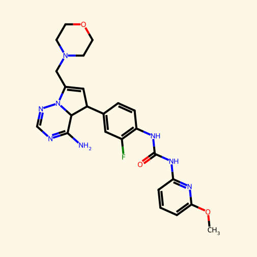 COc1cccc(NC(=O)Nc2ccc(C3C=C(CN4CCOCC4)N4N=CN=C(N)C34)cc2F)n1